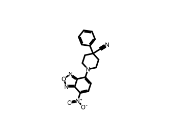 N#CC1(c2ccccc2)CCN(c2ccc([N+](=O)[O-])c3nonc23)CC1